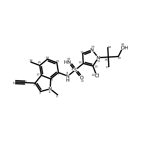 C#Cc1cn(C)c2c(NS(=N)(=O)c3cnn(C(C)(C)CO)c3Cl)ccc(C)c12